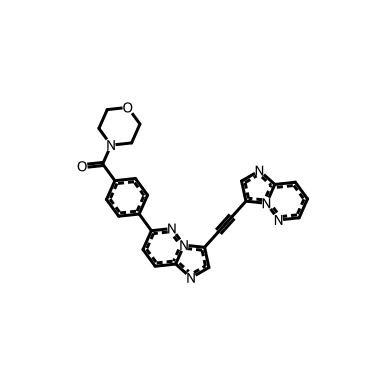 O=C(c1ccc(-c2ccc3ncc(C#Cc4cnc5cccnn45)n3n2)cc1)N1CCOCC1